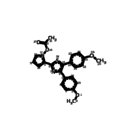 COc1ccc(-c2nc(-c3cccn3OC(C)=O)sc2-c2ccc(OC)cc2)cc1